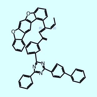 C=C(/C=C(\C=C/C)c1cccc2oc3cc4oc5ccccc5c4cc3c12)c1cccc(-c2nc(-c3ccccc3)nc(-c3ccc(-c4ccccc4)cc3)n2)c1